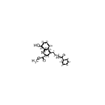 COC(=O)c1cc(CCCNC(=O)c2ccccc2)c2cccc(O)c2n1